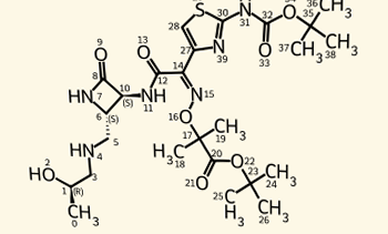 C[C@@H](O)CNC[C@@H]1NC(=O)[C@H]1NC(=O)C(=NOC(C)(C)C(=O)OC(C)(C)C)c1csc(NC(=O)OC(C)(C)C)n1